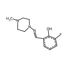 CN1CCN(N=Cc2c[c]cc(F)c2O)CC1